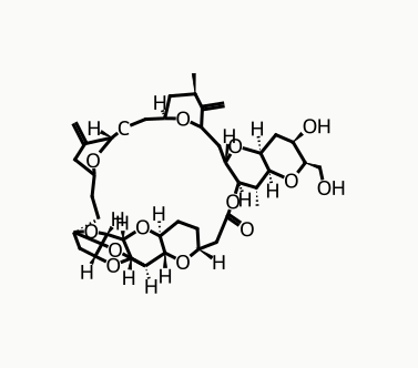 C=C1C2C[C@@H]3O[C@H]4C[C@@H](O)[C@@H](CO)O[C@H]4[C@H](C)[C@H]3OC(=O)C[C@H]3CC[C@@H]4O[C@@H]5[C@H]6O[C@@H]7C[C@](CCC8CC(=C)[C@H](CC[C@@H](C[C@H]1C)O2)O8)(O[C@H]6[C@H]4O3)O[C@H]57